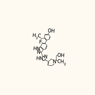 CCc1cc(O)ccc1-c1ccc2c(-c3nc(C4=CCCN(C(C)CO)C4)c[nH]3)n[nH]c2c1F